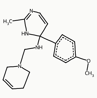 COc1ccc(C2(NCN3CC=CCC3)C=CN=C(C)N2)cc1